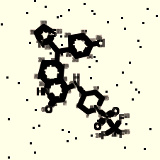 O=c1cc(NC2CCN(S(=O)(=O)C(F)(F)F)CC2)c2cc(C(c3ccc(Cl)cc3)c3nccs3)ccc2[nH]1